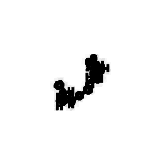 COC(=O)NC(C(=O)N1[C@@H]2C[C@@H]2C[C@H]1c1ncc(-c2ccc3cc(-c4ccc(-c5cnc(C6C[C@H]7C[C@H]7N6C(=O)OCc6ccccc6)[nH]5)cc4)ccc3c2)[nH]1)C(C)C